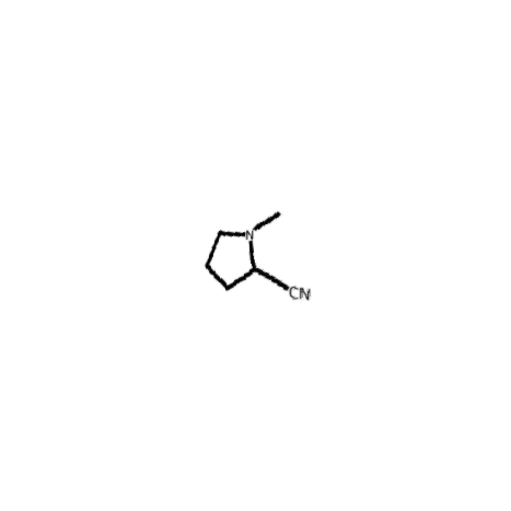 CN1CCCC1C#N